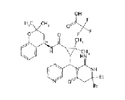 CCC1(CC)CC(=O)N(C(c2cccnc2)C2C(C(=O)N[C@@H]3CC(C)(C)Oc4ccccc43)C2(C)C)C(=N)N1.O=C(O)C(F)(F)F